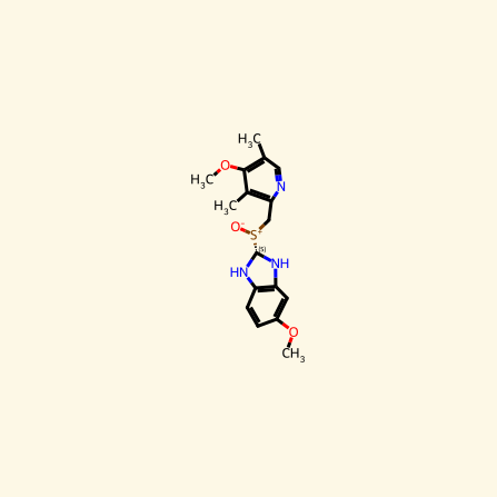 COc1ccc2c(c1)N[C@@H]([S+]([O-])Cc1ncc(C)c(OC)c1C)N2